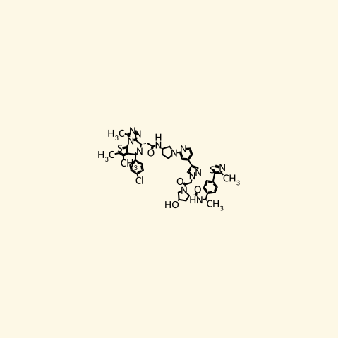 Cc1ncsc1-c1ccc([C@H](C)NC(=O)[C@@H]2C[C@@H](O)CN2C(=O)Cn2cc(-c3ccnc(N4CC[C@@H](NC(=O)C[C@@H]5N=C(c6ccc(Cl)cc6)c6c(sc(C)c6C)-n6c(C)nnc65)C4)c3)cn2)cc1